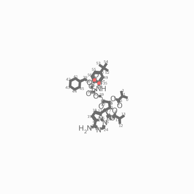 CC(C)C(=O)O[C@H]1[C@@H](OC(=O)C(C)C)[C@](C#N)(c2ccc3c(N)ncnn23)O[C@@H]1COP(=O)(N[C@@H](C)C(=O)OCC1CCCCC1)Oc1ccc(C(C)(C)C)cc1